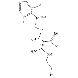 CCC(=N)/C(C(=O)OCC(=O)c1c(F)cccc1F)=C(/N)NCCC(C)C